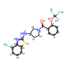 O=C(c1ccccc1OC(F)(F)F)N1CCC(Nc2nc3c(F)cccc3s2)C1